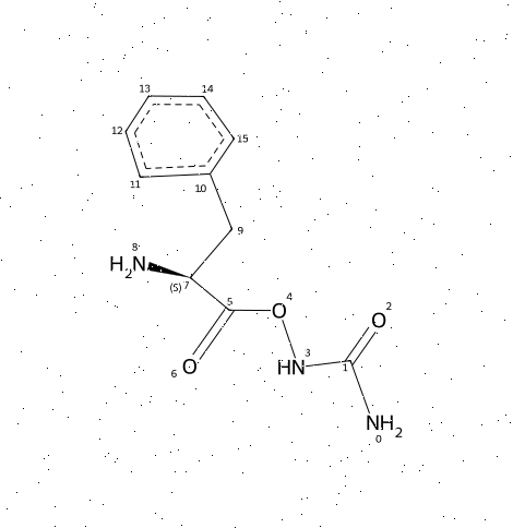 NC(=O)NOC(=O)[C@@H](N)Cc1ccccc1